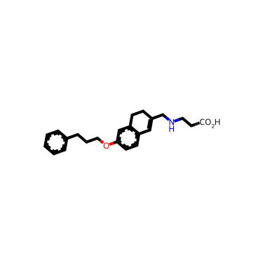 O=C(O)CCNCC1=Cc2ccc(OCCCc3ccccc3)cc2CC1